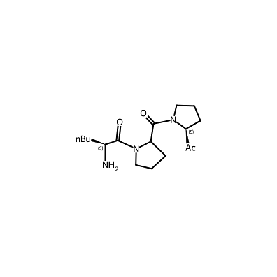 CCCC[C@H](N)C(=O)N1CCCC1C(=O)N1CCC[C@H]1C(C)=O